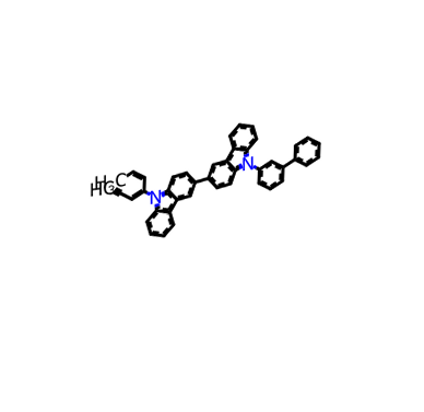 C#C/C=C(\C=C/C)n1c2ccccc2c2cc(-c3ccc4c(c3)c3ccccc3n4-c3cccc(-c4ccccc4)c3)ccc21